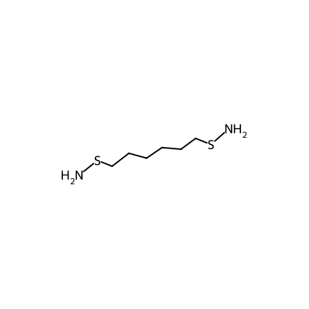 NSCCCCCCSN